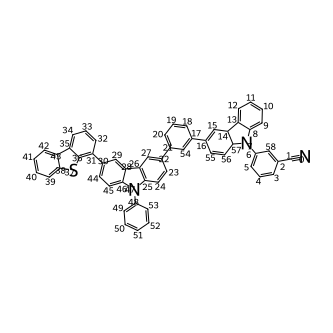 N#Cc1cccc(N2c3ccccc3C3C=C(c4cccc(-c5ccc6c(c5)c5cc(-c7cccc8c7sc7ccccc78)ccc5n6-c5ccccc5)c4)C=CC32)c1